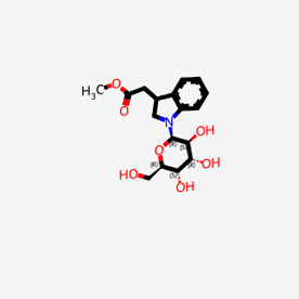 COC(=O)CC1CN([C@@H]2O[C@H](CO)[C@@H](O)[C@@H](O)[C@@H]2O)c2ccccc21